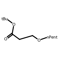 CCCCCOCCC(=O)OC(C)(C)C